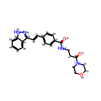 O=C(NCCC(=O)N1CCOCC1)c1ccc(/C=C/c2n[nH]c3ccccc23)cc1